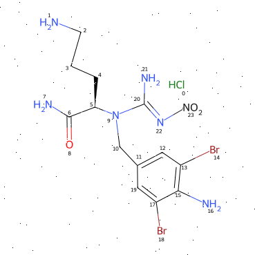 Cl.NCCC[C@H](C(N)=O)N(Cc1cc(Br)c(N)c(Br)c1)C(N)=N[N+](=O)[O-]